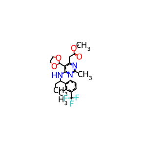 CCC(Nc1nc(C)nc(CC(=O)OC)c1C1OCCO1)c1cccc(C(F)(F)F)c1C